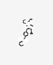 C=CC(=O)N1CCC[C@H]1c1nc(-c2ccc(C(=O)Nc3ccccn3)cc2)c2c(C3CC3)nccn12